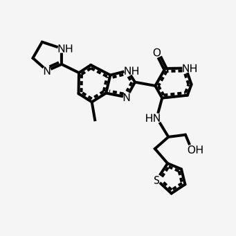 Cc1cc(C2=NCCN2)cc2[nH]c(-c3c(NC(CO)Cc4cccs4)cc[nH]c3=O)nc12